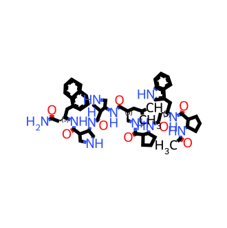 CC(=O)NC1CCCC1C(=O)N[C@H](CC(=O)NC1CCCC1C(=O)NC[C@H](CC(C)C)C(=O)NC1CNCC1C(=O)NC1CNCC1C(=O)N[C@H](CC(N)=O)Cc1cccc2ccccc12)Cc1c[nH]c2ccccc12